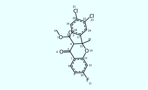 COC(=O)C1C(=O)c2ccc(F)cc2OC1(C)c1ccc(Cl)c(Cl)c1